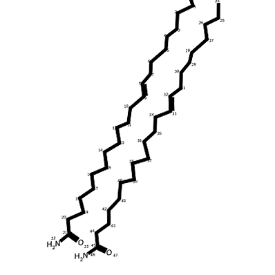 CCCCCCCCC=CCCCCCCCCCCCC(N)=O.CCCCCCCCC=CCCCCCCCCCCCC(N)=O